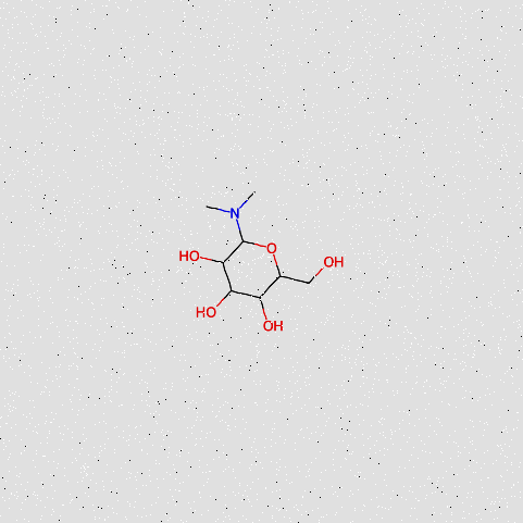 CN(C)C1OC(CO)C(O)C(O)C1O